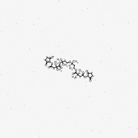 CC(C)(CCOC(=O)C(C)(C)CC(=O)ON1C(=O)CCC1=O)OCCC(C)(C)OC(=O)C(C)(C)CC(=O)ON1C(=O)CCC1=O